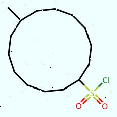 CC1CCCCCCC(S(=O)(=O)Cl)CCCCCC1